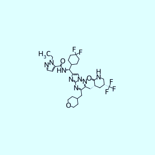 CCn1nccc1C(=O)N[C@H](c1cn2nc(C[C@H]3C[C@@H](C(F)(F)F)CNC3=O)c(CC3CCOCC3)nc2n1)C1CCC(F)(F)CC1